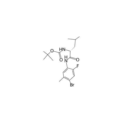 Cc1cc(NC(=O)[C@@H](CC(C)C)NC(=O)OC(C)(C)C)c(F)cc1Br